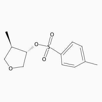 Cc1ccc(S(=O)(=O)O[C@@H]2COC[C@H]2C)cc1